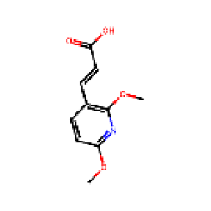 COc1ccc(C=CC(=O)O)c(OC)n1